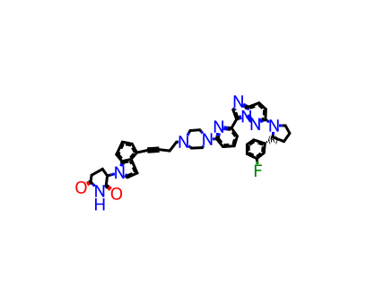 O=C1CCC(n2ccc3c(C#CCCN4CCN(c5cccc(-c6cnc7ccc(N8CCC[C@@H]8c8cccc(F)c8)nn67)n5)CC4)cccc32)C(=O)N1